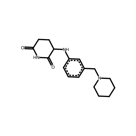 O=C1CCC(Nc2cccc(CN3CCCCC3)c2)C(=O)N1